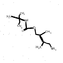 C/C(CN)=C(/C)COC(=O)NC(C)(C)C